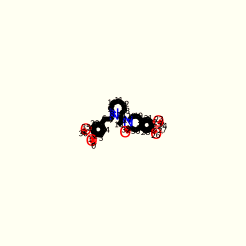 COc1ccc(CCN2CCCCCC2C(C)N2CCc3cc(OC)c(OC)cc3CC2=O)cc1OC